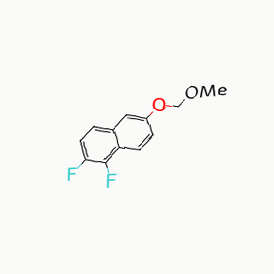 COCOc1ccc2c(F)c(F)ccc2c1